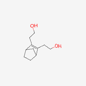 OCCC1=C(CCO)C2CCC1C2